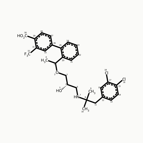 CC(OC[C@@H](O)CNC(C)(C)Cc1ccc(Cl)c(Cl)c1)c1ccccc1-c1ccc(C(=O)O)c(C(F)(F)F)c1